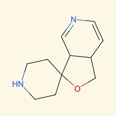 C1=CC2COC3(CCNCC3)C2C=N1